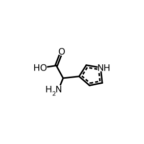 NC(C(=O)O)c1cc[nH]c1